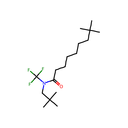 CC(C)(C)CCCCCCC(=O)N(CC(C)(C)C)C(F)(F)F